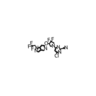 N#Cc1nc(Cl)cc(N2CC(Oc3cc4c(cn3)cnn4CC(F)(F)F)C(F)(F)C2)n1